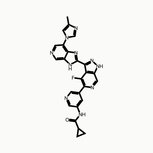 Cc1cn(-c2cncc3[nH]c(-c4n[nH]c5cnc(-c6cncc(NC(=O)C7CC7)c6)c(F)c45)nc23)cn1